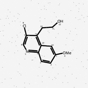 COc1ccc2ncc(Cl)c(CCO)c2c1